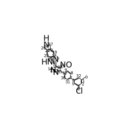 Cc1cc(Cl)cc(-c2ccc(-c3nn(C)c(-c4nc5cc6c(cc5[nH]4)CNC6)c3N=O)cc2)c1